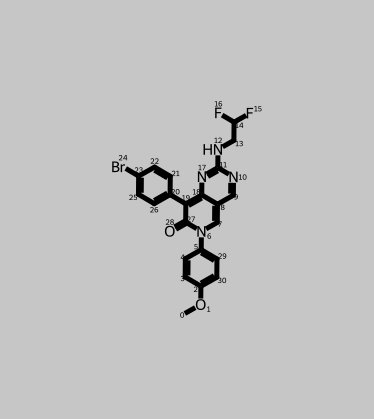 COc1ccc(-n2cc3cnc(NCC(F)F)nc3c(-c3ccc(Br)cc3)c2=O)cc1